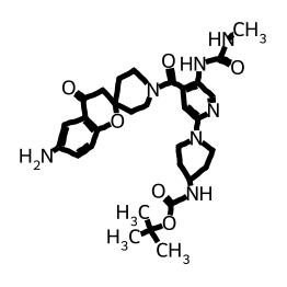 CNC(=O)Nc1cnc(N2CCC(NC(=O)OC(C)(C)C)CC2)cc1C(=O)N1CCC2(CC1)CC(=O)c1cc(N)ccc1O2